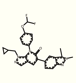 Cc1c2cc(-c3cc4cnn(CC5CC5)c4n(-c4ccc(OC(F)F)cc4)c3=O)ccc2nn1C